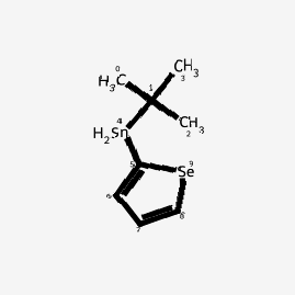 C[C](C)(C)[SnH2][c]1ccc[se]1